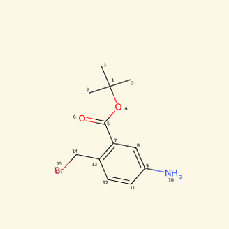 CC(C)(C)OC(=O)c1cc(N)ccc1CBr